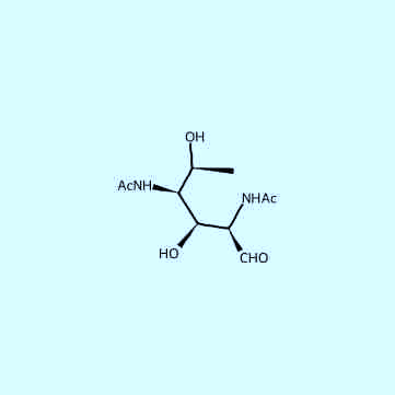 CC(=O)N[C@H]([C@H](O)[C@H](C=O)NC(C)=O)[C@H](C)O